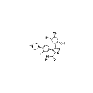 CC(C)NC(=O)c1nnc(-c2cc(C(C)C)c(O)cc2O)n1-c1ccc(N2CCN(C)CC2)c(F)c1